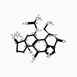 CC[C@H]1OC(=O)c2coc3c2C1C1=C(C3=O)[C@@H]2CCC(=O)[C@@]2(C)C[C@H]1OC(C)=O